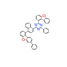 c1ccc(-c2ccc3c(c2)oc2cccc(-c4ccc(-c5nc(-c6ccccc6)nc(-c6cccc7oc8ccccc8c67)n5)c5ccccc45)c23)cc1